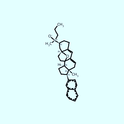 CCC[N+](C)([O-])[C@H]1CCC2=CC3=CC[C@]4(C)[C@@H](c5ccc6ccccc6c5)CC[C@H]4C34CC[C@]2(C1)O4